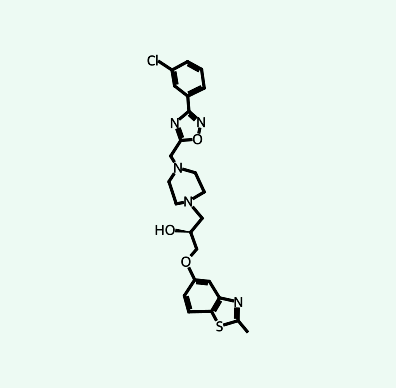 Cc1nc2cc(OC[C@@H](O)CN3CCN(Cc4nc(-c5cccc(Cl)c5)no4)CC3)ccc2s1